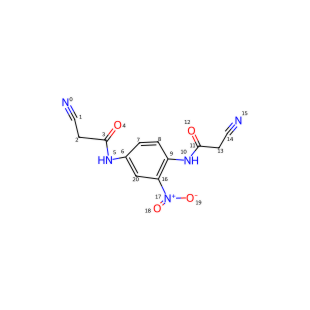 N#CCC(=O)Nc1ccc(NC(=O)CC#N)c([N+](=O)[O-])c1